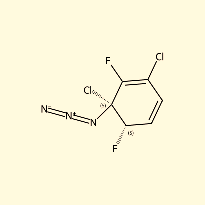 [N-]=[N+]=N[C@@]1(Cl)C(F)=C(Cl)C=C[C@@H]1F